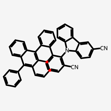 N#Cc1ccc2c(c1)c1ccccc1n2-c1c(C#N)cccc1-c1ccccc1-c1c2ccccc2c(-c2ccccc2)c2ccccc12